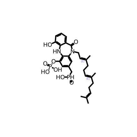 CC(C)=CCC/C(C)=C/CC/C(C)=C/CN1C(=O)c2cccc(O)c2Nc2c(OP(=O)(O)O)cc(C[PH](=O)O)cc21